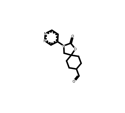 O=CC1CCC2(CC1)CN(c1ccnnc1)C(=O)O2